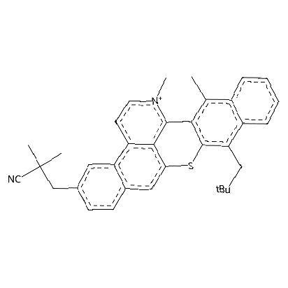 Cc1c2c(c(CC(C)(C)C)c3ccccc13)Sc1cc3ccc(CC(C)(C)C#N)cc3c3cc[n+](C)c-2c13